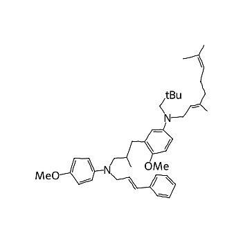 COc1ccc(N(C/C=C/c2ccccc2)CC(C)Cc2cc(N(C/C=C(\C)CCC=C(C)C)CC(C)(C)C)ccc2OC)cc1